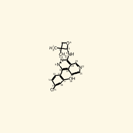 CC1(C)CO[C@H]1Nc1nnc(-c2ccc(Cl)cc2O)c2ccncc12